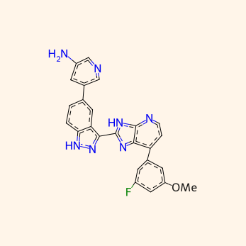 COc1cc(F)cc(-c2ccnc3[nH]c(-c4n[nH]c5ccc(-c6cncc(N)c6)cc45)nc23)c1